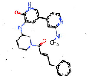 CNc1cc(-c2c[nH]c(=O)c(NC3CCCN(C(=O)/C=C/Cc4ccccc4)C3)c2)ccn1